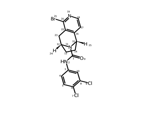 O=C(Nc1ccc(Cl)c(Cl)c1)N1[C@@H]2CC[C@H]1c1ccnc(Br)c1C2